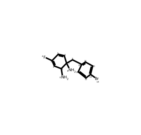 NC1C=C(F)C=CC1(N)Cc1ccc(Br)cc1